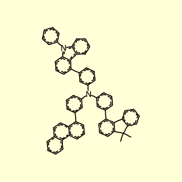 CC1(C)c2ccccc2-c2c(-c3cccc(N(c4cccc(-c5cccc6c5ccc5ccccc56)c4)c4cccc(-c5cccc6c5c5ccccc5n6-c5ccccc5)c4)c3)cccc21